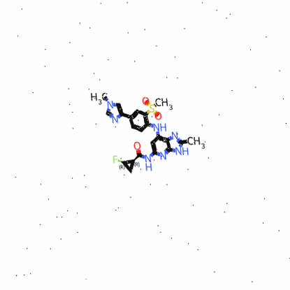 Cc1nc2c(Nc3ccc(-c4cn(C)cn4)cc3S(C)(=O)=O)cc(NC(=O)[C@H]3C[C@H]3F)nc2[nH]1